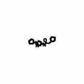 O=C(Cc1ccccc1)N=c1ccn(-c2ccccc2)nc1